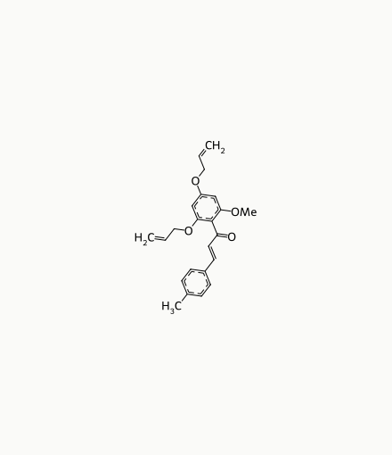 C=CCOc1cc(OC)c(C(=O)C=Cc2ccc(C)cc2)c(OCC=C)c1